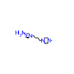 CN1CCN(CCCCN2C=CN(N)C2)CC1